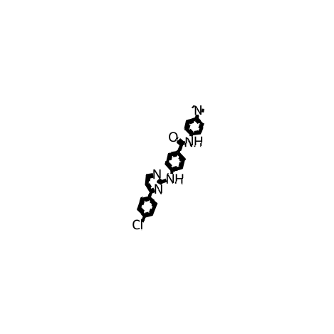 CN(C)c1ccc(NC(=O)c2ccc(Nc3nccc(-c4ccc(Cl)cc4)n3)cc2)cc1